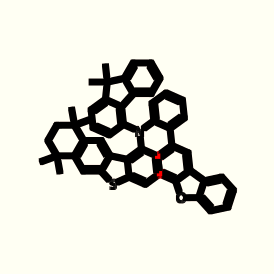 CC1(C)CCC(C)(C)c2cc3c(cc21)sc1cccc(N(c2ccccc2-c2ccc4oc5ccccc5c4c2)c2cccc4c2-c2ccccc2C4(C)C)c13